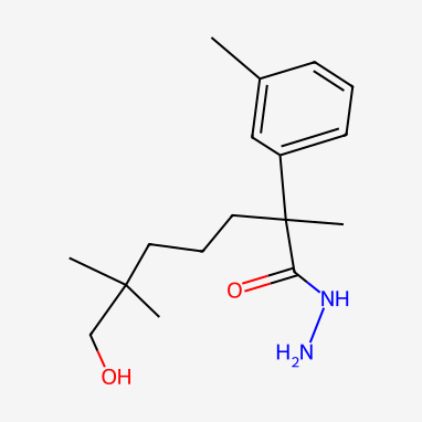 Cc1cccc(C(C)(CCCC(C)(C)CO)C(=O)NN)c1